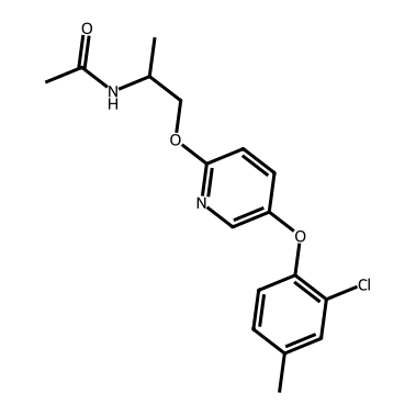 CC(=O)NC(C)COc1ccc(Oc2ccc(C)cc2Cl)cn1